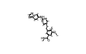 CNC(=O)c1cc(CCc2cnc(Nc3ccc4ncnn4c3)nc2)c(F)c(OC)c1